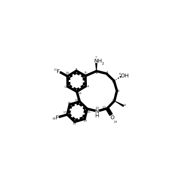 C[C@@H]1C[C@@H](O)C[C@H](N)c2cc(F)cc(c2)-c2cc(F)ccc2NC1=O